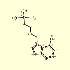 C[Si](C)(C)CCOCn1cnc2cncc(C#N)c21